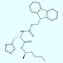 CCCC[C@@H](C)OC(=O)[C@H](Cc1cscn1)NC(=O)OCC1c2ccccc2-c2ccccc21